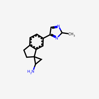 CC1N=CC(c2ccc3c(c2)C2(CC3)CC2N)=N1